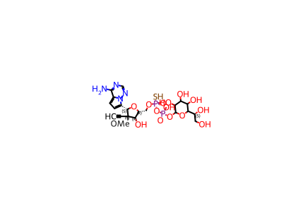 C#C[C@@]1(OC)[C@H](O)[C@@H](COP(=O)(S)OP(=O)(O)OC2OC([C@@H](O)CO)C(O)C(O)C2O)O[C@H]1c1ccc2c(N)ncnn12